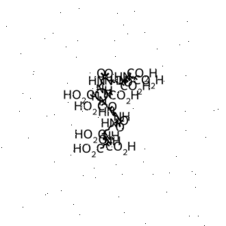 O=C(O)CCC(NC(=O)NC(CCCCNc1c(NCCNC(=O)CCC(C(=O)O)N2CCN(CC(=O)O)CCN(CCNc3c(NCCCCC(NC(=O)NC(CCC(=O)O)C(=O)O)C(=O)O)c(=O)c3=O)CCN(CC(=O)O)CC2)c(=O)c1=O)C(=O)O)C(=O)O